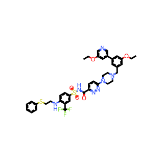 CCOc1cncc(-c2cc(CN3CCN(c4ccc(C(=O)NS(=O)(=O)c5ccc(NCCSc6ccccc6)c(C(F)(F)F)c5)nn4)CC3)cc(OCC)c2)c1